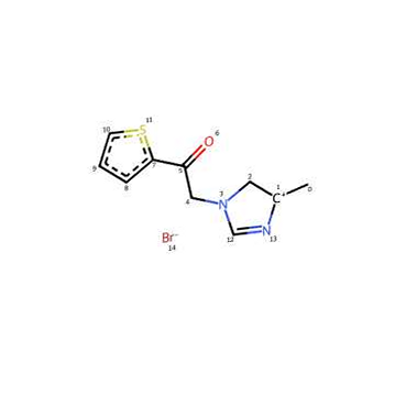 C[C+]1CN(CC(=O)c2cccs2)C=N1.[Br-]